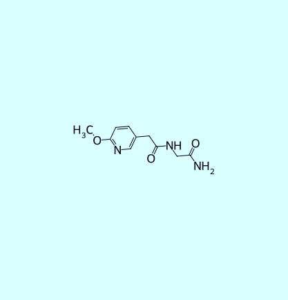 COc1ccc(CC(=O)NCC(N)=O)cn1